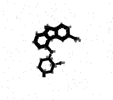 Nc1cc2c(cn1)[nH]c1nccc(O[C@H]3CCNC[C@H]3F)c12